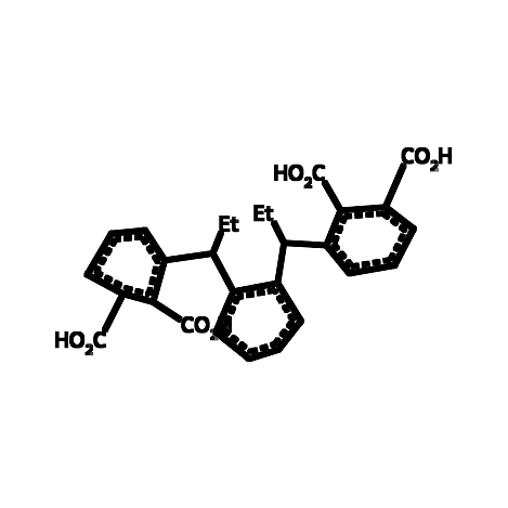 CCC(c1ccccc1C(CC)c1cccc(C(=O)O)c1C(=O)O)c1cccc(C(=O)O)c1C(=O)O